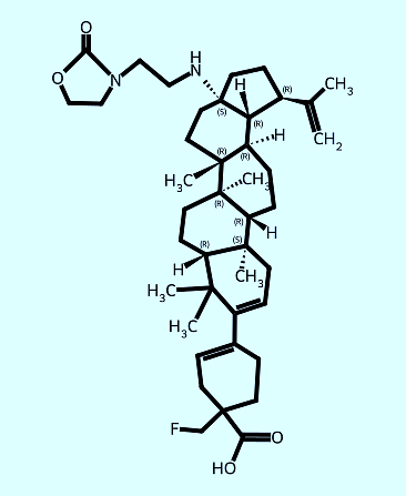 C=C(C)[C@@H]1CC[C@]2(NCCN3CCOC3=O)CC[C@]3(C)[C@H](CC[C@@H]4[C@@]5(C)CC=C(C6=CCC(CF)(C(=O)O)CC6)C(C)(C)[C@@H]5CC[C@]43C)[C@@H]12